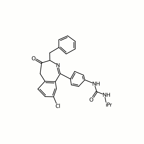 CC(C)NC(=O)Nc1ccc(C2=NC(Cc3ccccc3)C(=O)Cc3ccc(Cl)cc32)cc1